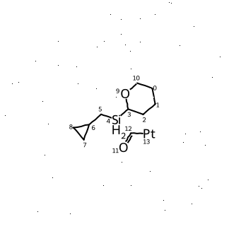 C1CCC([SiH2]CC2CC2)OC1.O=[CH][Pt]